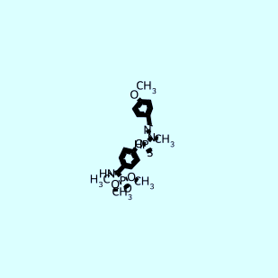 CNC(c1ccc(O[PH](=S)N(C)/N=C/c2ccc(OC)cc2)cc1)P(=O)(OC)OC